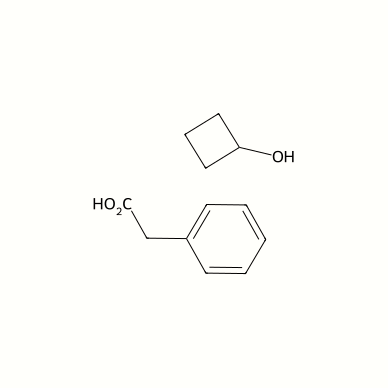 O=C(O)Cc1ccccc1.OC1CCC1